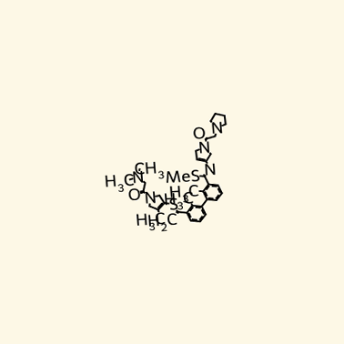 C=C(SC1=C(C)CN(C(=O)CN(C)C)C1)c1cccc(-c2cccc(/C(=N/C3=CCN(C(=O)CN4CCCC4)C3)SC)c2C)c1C